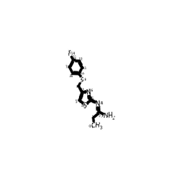 CC/C(N)=N\c1nc(CSc2ccc(F)cc2)cs1